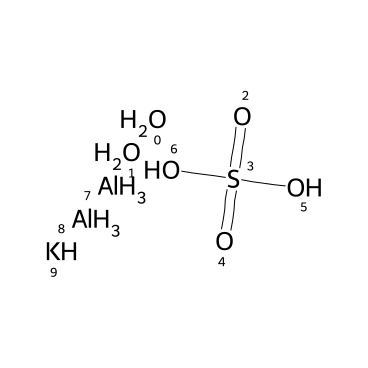 O.O.O=S(=O)(O)O.[AlH3].[AlH3].[KH]